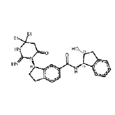 CCC1(CC)CC(=O)N([C@@H]2CCc3ccc(C(=O)N[C@@H]4c5ccccc5C[C@H]4O)cc32)C(=N)N1